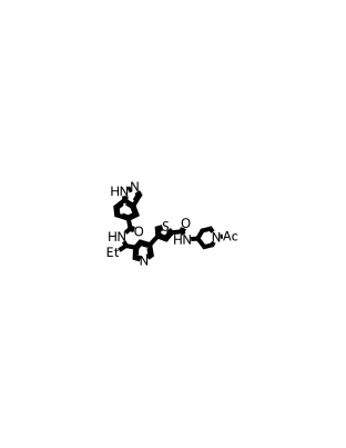 CCC(NC(=O)c1ccc2[nH]ncc2c1)c1cncc(-c2csc(C(=O)NC3CCN(C(C)=O)CC3)c2)c1